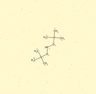 CC(C)(C)OPO[Si](C)(C)C